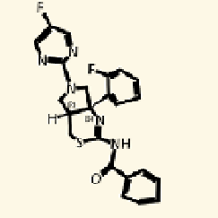 O=C(NC1=N[C@@]2(c3ccccc3F)CN(c3ncc(F)cn3)C[C@H]2CS1)c1ccccc1